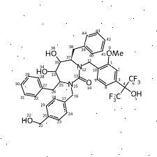 COc1cc(C(O)(C(F)(F)F)C(F)(F)F)ccc1CN1C(=O)N(Cc2ccc(CO)cc2)C(Cc2ccccc2)C(O)C(O)[C@H]1Cc1ccccc1